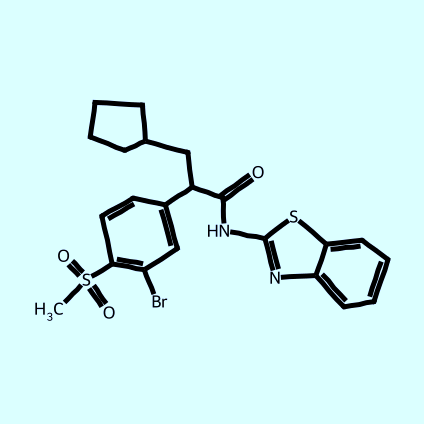 CS(=O)(=O)c1ccc(C(CC2CCCC2)C(=O)Nc2nc3ccccc3s2)cc1Br